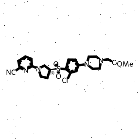 COCCN1CCN(c2ccc(S(=O)(=O)[C@H]3CCN(c4cccc(C#N)n4)C3)c(Cl)c2)CC1